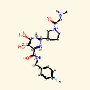 CN(C)CC(=O)N1CCCC(c2nc(O)c(O)c(C(=O)NCc3ccc(F)cc3)n2)C1